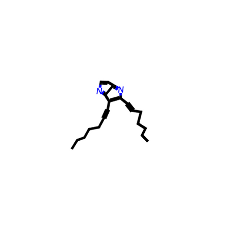 CCCCCC#CC1=C(C#CCCCCC)C2=NC=CC2=N1